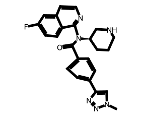 Cn1cc(-c2ccc(C(=O)N(c3nccc4cc(F)ccc34)[C@@H]3CCCNC3)cc2)nn1